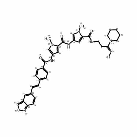 [H]/N=C(\CCNC(=O)c1cc(NC(=O)c2cc(NC(=O)c3ccc(C=Cc4ccc5nonc5c4)cc3)cn2C)cn1C)N1CCCCC1